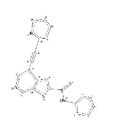 O=C(Nc1ccccc1)c1cc2c(C#Cc3ccccn3)cncc2s1